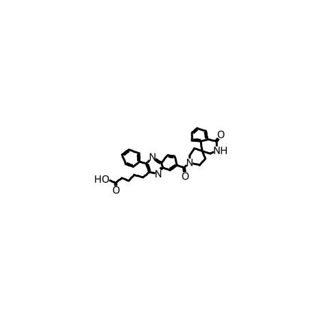 O=C(O)CCCCc1nc2cc(C(=O)N3CCC4(CC3)CNC(=O)c3ccccc34)ccc2nc1-c1ccccc1